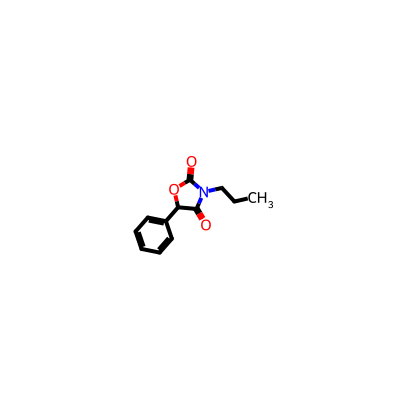 CCCN1C(=O)OC(c2ccccc2)C1=O